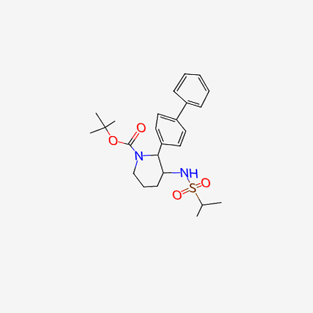 CC(C)S(=O)(=O)NC1CCCN(C(=O)OC(C)(C)C)C1c1ccc(-c2ccccc2)cc1